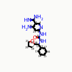 N=C(N)c1cnc(NC(=O)N[C@@H](c2ccccc2)[C@@H]2CCCO2)cc1N